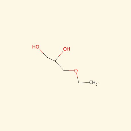 [CH2]COCC(O)CO